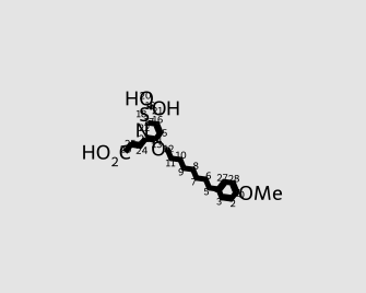 COc1ccc(CCCCCCCCOc2ccc(SC(O)O)nc2C=CC(=O)O)cc1